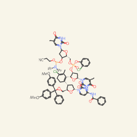 COc1ccc(C(OC[C@@H]2O[C@@H](n3ccc(NC(=O)c4ccccc4)nc3=O)C[C@H]2C2=C([C@H]3O[C@@H](n4cc(C)c(=O)[nH]c4=O)C[C@@H]3OP(=O)(OC[C@H]3OC(n4cc(C)c(=O)[nH]c4=O)CC3OP(OCCC#N)N(C(C)C)C(C)C)Oc3ccccc3Cl)C(C)=C(Cl)[CH]C2)(c2ccccc2)c2ccc(OC)cc2)cc1